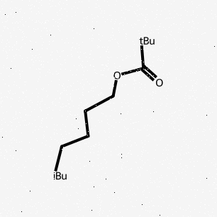 CCC(C)CCCCOC(=O)C(C)(C)C